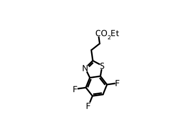 CCOC(=O)CCc1nc2c(F)c(F)cc(F)c2s1